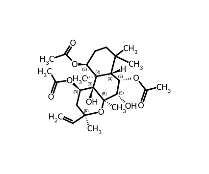 C=C[C@@]1(C)C[C@@H](OC(C)=O)[C@]2(O)[C@@]3(C)[C@@H](OC(C)=O)CCC(C)(C)[C@@H]3[C@H](OC(C)=O)[C@H](O)[C@@]2(C)O1